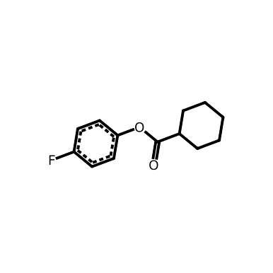 O=C(Oc1ccc(F)cc1)C1CCCCC1